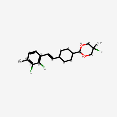 CCCC1(F)COC(C2CCC(/C=C/c3ccc(CC)c(F)c3F)CC2)OC1